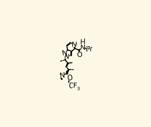 C=N/C(OCC(F)(F)F)=C(C)\C=C(/C)C(C)n1cc2c(C(=O)NC(C)C)nccc2n1